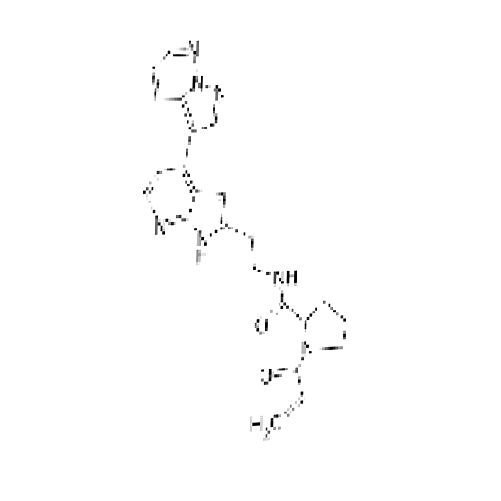 C=CC(=O)N1CCCC1C(=O)NCCc1cc2c(-c3cnn4ncccc34)ccnc2[nH]1